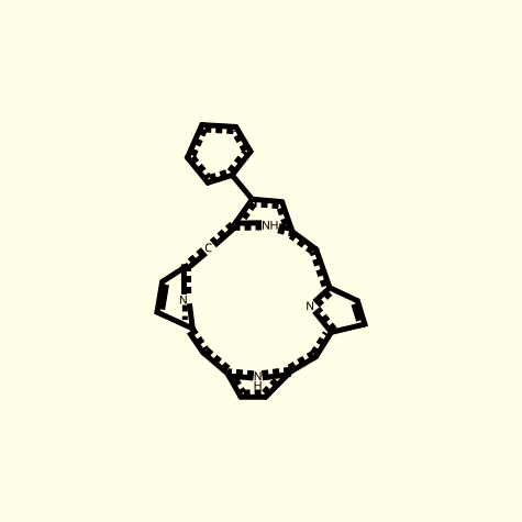 C1=Cc2cc3cc(-c4ccccc4)c(cc4nc(cc5ccc(cc1n2)[nH]5)C=C4)[nH]3